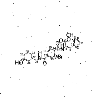 COC(=O)C(=Cc1nccs1)NC(=O)c1ccc(C(=O)NCc2cccc(O)c2)cc1Br